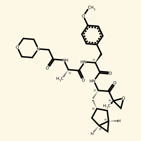 COc1ccc(C[C@H](NC(=O)[C@H](C)NC(=O)CN2CCOCC2)C(=O)N[C@@H](C[C@H]2C[C@@H]3C[C@@H]3C2)C(=O)[C@@]2(C)CO2)cc1